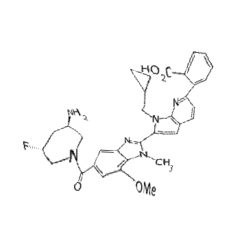 COc1cc(C(=O)N2C[C@H](N)C[C@@H](F)C2)cc2nc(-c3cc4ccc(-c5ccccc5C(=O)O)nc4n3CC3CC3)n(C)c12